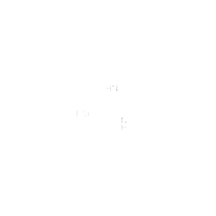 [SiH]C1NCCN1